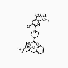 C=CC(Cc1ccccc1)S(=O)(=O)NC(=O)C1CCN(c2nc(C)c(C(=O)OCC)cc2Cl)CC1